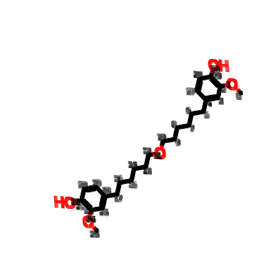 COc1cc(CCCCCCOCCCCCCc2ccc(O)c(OC)c2)ccc1O